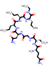 CSCC[C@H](NC(=O)[C@H](CCC(=O)O)NC(=O)[C@H](CCC(=O)O)NC(=O)[C@H](CC(N)=O)NC(=O)CNC(=O)[C@H](CC(=O)O)NC(=O)[C@@H](N)CCC(N)=O)C(=O)NCC(=O)O